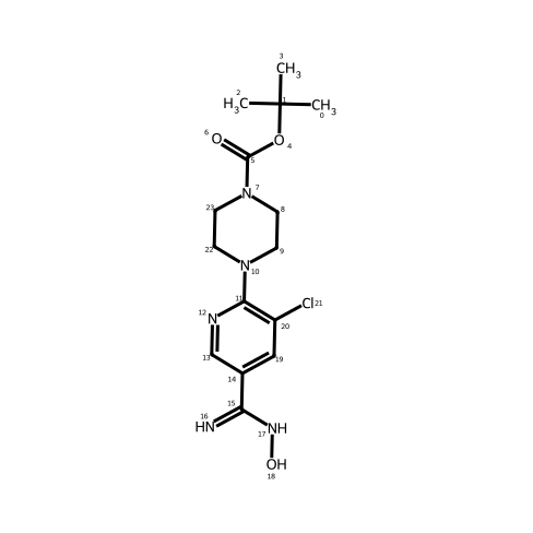 CC(C)(C)OC(=O)N1CCN(c2ncc(C(=N)NO)cc2Cl)CC1